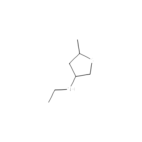 CCNC1CSC(C)C1